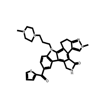 CN1CCN(CCCn2c3ccc(C(=O)c4cccs4)cc3c3c4c(c5c(c32)CCc2nn(C)cc2-5)C(=O)NC4)CC1